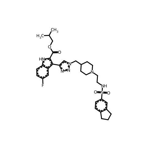 CC(C)COC(=O)c1[nH]c2ccc(F)cc2c1-c1cn(CC2CCN(CCNS(=O)(=O)c3ccc4c(c3)CCC4)CC2)nn1